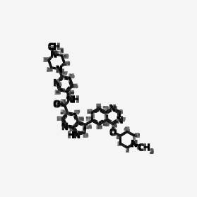 CN1CCC(Oc2ncnc3ccc(-c4c[nH]c5ncc(C(=O)Nc6ccc(N7CCN(C)CC7)nc6)cc45)cc23)CC1